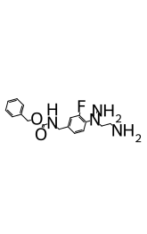 NCCN(N)c1ccc(CNC(=O)OCc2ccccc2)cc1F